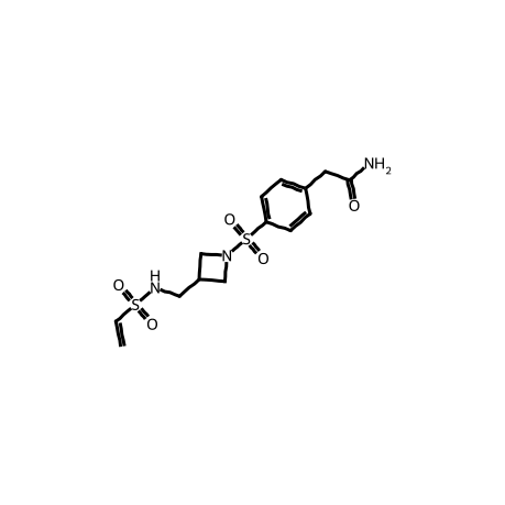 C=CS(=O)(=O)NCC1CN(S(=O)(=O)c2ccc(CC(N)=O)cc2)C1